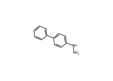 NNc1ccc(-c2ccccc2)cc1